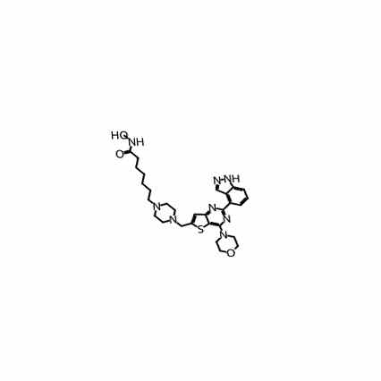 O=C(CCCCCCN1CCN(Cc2cc3nc(-c4cccc5[nH]ncc45)nc(N4CCOCC4)c3s2)CC1)NO